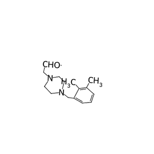 Cc1cccc(CN2CCN(C[C]=O)CC2)c1C